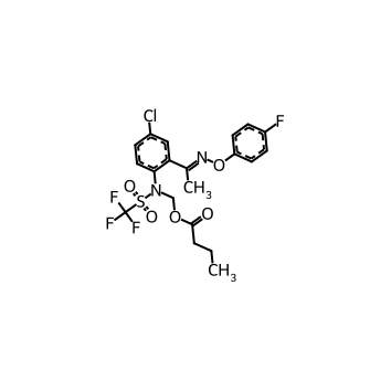 CCCC(=O)OCN(c1ccc(Cl)cc1/C(C)=N/Oc1ccc(F)cc1)S(=O)(=O)C(F)(F)F